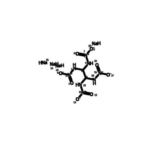 O=[N+]([O-])NC(N[N+](=O)[O-])C(N[N+](=O)[O-])N[N+](=O)[O-].[NaH].[NaH].[NaH].[NaH]